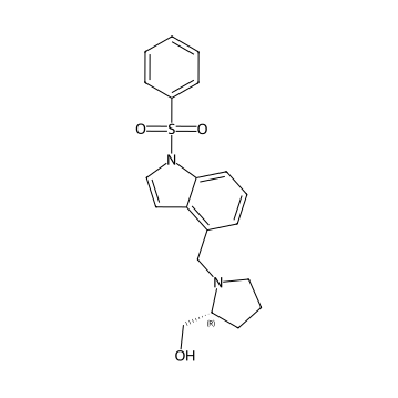 O=S(=O)(c1ccccc1)n1ccc2c(CN3CCC[C@@H]3CO)cccc21